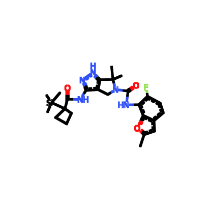 Cc1cc2ccc(F)c(NC(=O)N3Cc4c(NC(=O)C5([Si](C)(C)C)CCC5)n[nH]c4C3(C)C)c2o1